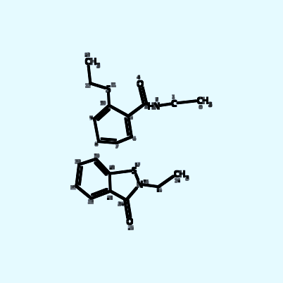 CCNC(=O)c1ccccc1SCC.CCn1sc2ccccc2c1=O